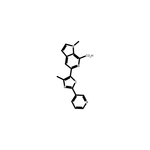 Cc1nc(-c2cccnc2)sc1-c1cc2ccn(C)c2c(C(=O)O)n1